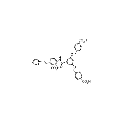 O=C(O)c1ccc(COc2cc(OCc3ccc(C(=O)O)cc3)cc(C(=O)Nc3ccc(C=Cc4ccccc4)cc3C(=O)O)c2)cc1